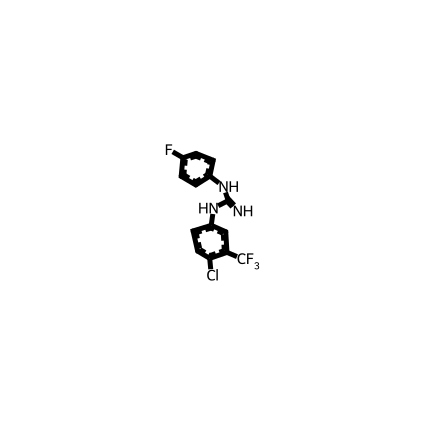 N=C(Nc1ccc(F)cc1)Nc1ccc(Cl)c(C(F)(F)F)c1